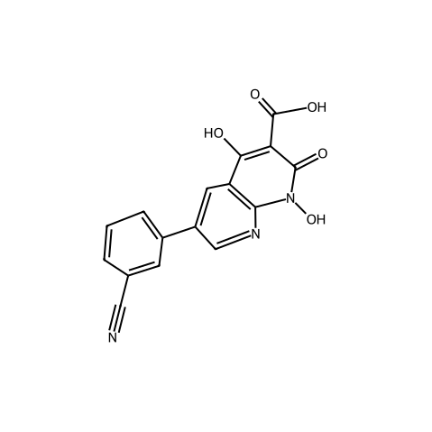 N#Cc1cccc(-c2cnc3c(c2)c(O)c(C(=O)O)c(=O)n3O)c1